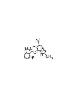 CCc1c(C2CC2)cn2cc(C)nc2c1OCc1c(F)cccc1F